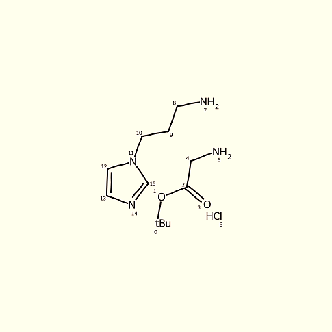 CC(C)(C)OC(=O)CN.Cl.NCCCn1ccnc1